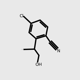 [CH2]C(CO)c1cc(Cl)ccc1C#N